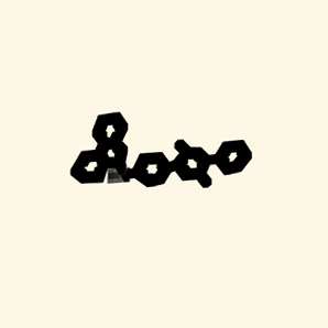 Cc1cc(-c2ccc(Nc3cc4ccccc4c4ccccc34)cc2)c(C)cc1-c1ccccc1